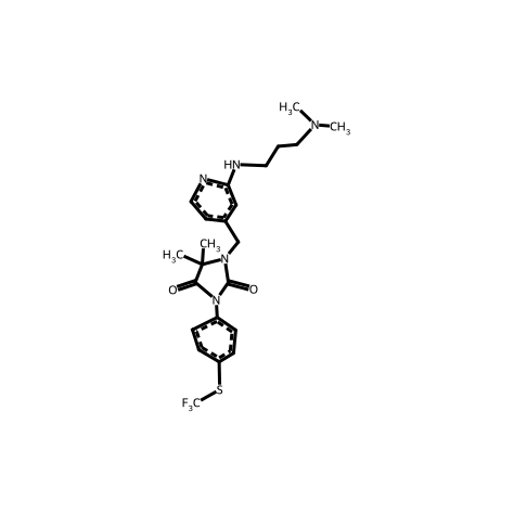 CN(C)CCCNc1cc(CN2C(=O)N(c3ccc(SC(F)(F)F)cc3)C(=O)C2(C)C)ccn1